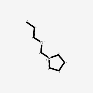 CCCOCN1CCCC1